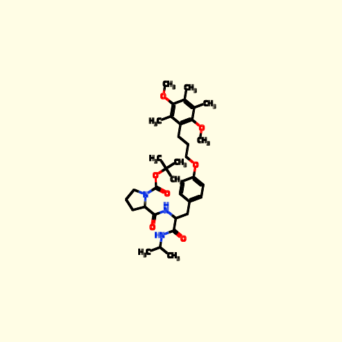 COc1c(C)c(C)c(OC)c(CCCOc2ccc(CC(NC(=O)C3CCCN3C(=O)OC(C)(C)C)C(=O)NC(C)C)cc2)c1C